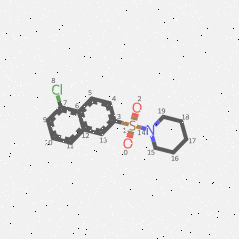 O=S(=O)(c1ccc2c(Cl)cccc2c1)N1CCCCC1